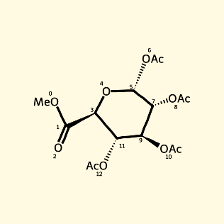 COC(=O)[C@H]1O[C@H](OC(C)=O)[C@H](OC(C)=O)[C@@H](OC(C)=O)[C@@H]1OC(C)=O